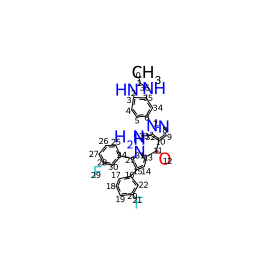 CC1Nc2ccc(-n3ncc(C(=O)c4cc(-c5cccc(F)c5)c(-c5cccc(F)c5)[nH]4)c3N)cc2N1